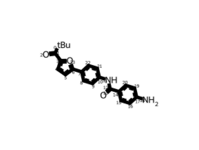 CC(C)(C)C(=O)c1ccc(-c2ccc(NC(=O)c3ccc(N)cc3)cc2)o1